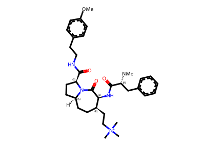 CN[C@H](Cc1ccccc1)C(=O)N[C@@H]1C(=O)N2[C@@H](CC[C@@H]1CC[N+](C)(C)C)CC[C@H]2C(=O)NCCc1ccc(OC)cc1